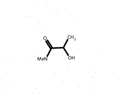 [CH2]NC(=O)C(C)O